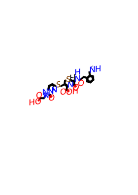 CNCc1ccccc1CC(=O)NC1C(=O)N2C(C(=O)O)=C(CSc3ccc4nn(CC(=O)O)c(=O)n4n3)CS[C@@H]12